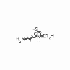 NCCCCCC(=O)NC(CCS)C(=O)O